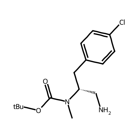 CN(C(=O)OC(C)(C)C)[C@@H](CN)Cc1ccc(Cl)cc1